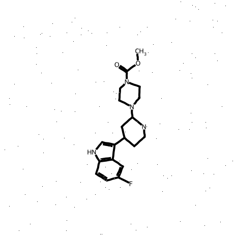 COC(=O)N1CCN(C2CC(c3c[nH]c4ccc(F)cc34)CC[N]2)CC1